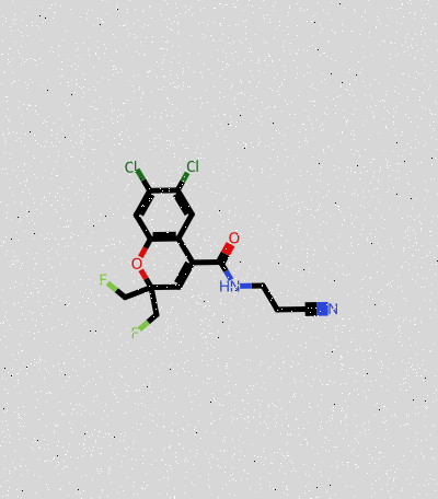 N#CCCNC(=O)C1=CC(CF)(CF)Oc2cc(Cl)c(Cl)cc21